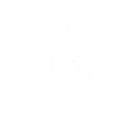 COCOCCc1nc(OC)cc(C)c1OCc1ccccc1